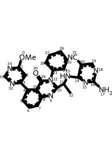 COc1cc(-c2cccc3nc(C(C)Nc4nc(N)ncc4C#N)n(-c4ccccc4)c(=O)c23)ncn1